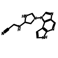 N#CCNC1CN(n2cnc3cnc4[nH]ccc4c32)CN1